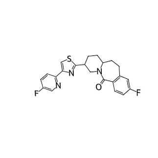 O=C1c2ccc(F)cc2CCC2CCC(c3nc(-c4ccc(F)cn4)cs3)CN12